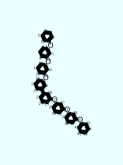 c1ccc(Oc2cccc(Oc3cccc(Oc4cccc(-c5cccc(Oc6cccc(Oc7cccc(Oc8ccccc8)c7)c6)c5)c4)c3)c2)cc1